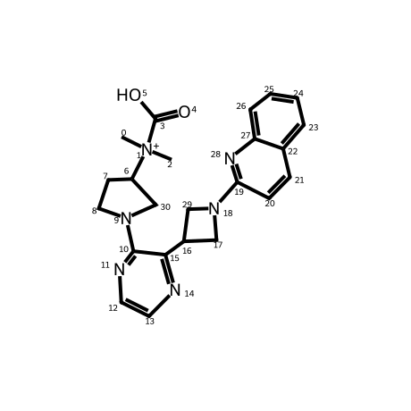 C[N+](C)(C(=O)O)C1CCN(c2nccnc2C2CN(c3ccc4ccccc4n3)C2)C1